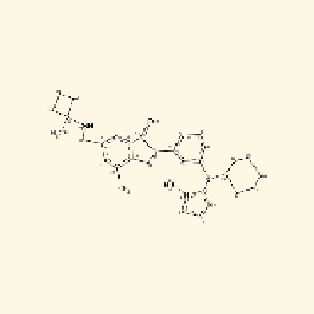 Cn1cnnc1C(c1cccc(N2Cc3c(cc(CNC4(C)CCC4)cc3C(F)(F)F)C2=O)c1)C1CCCCC1